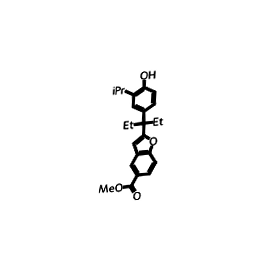 CCC(CC)(c1ccc(O)c(C(C)C)c1)c1cc2cc(C(=O)OC)ccc2o1